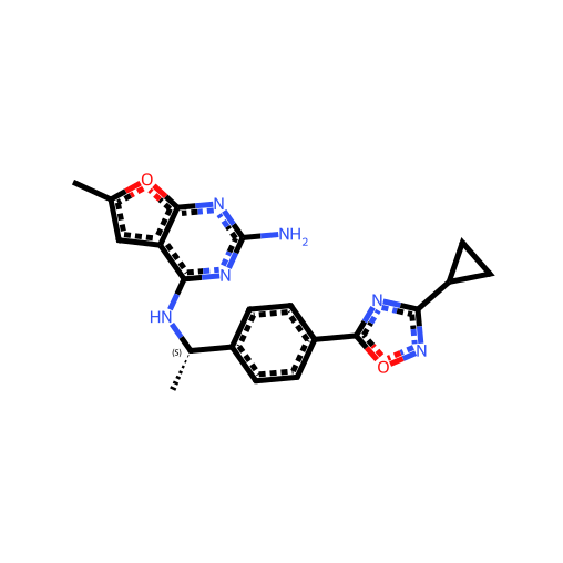 Cc1cc2c(N[C@@H](C)c3ccc(-c4nc(C5CC5)no4)cc3)nc(N)nc2o1